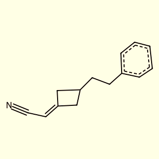 N#CC=C1CC(CCc2ccccc2)C1